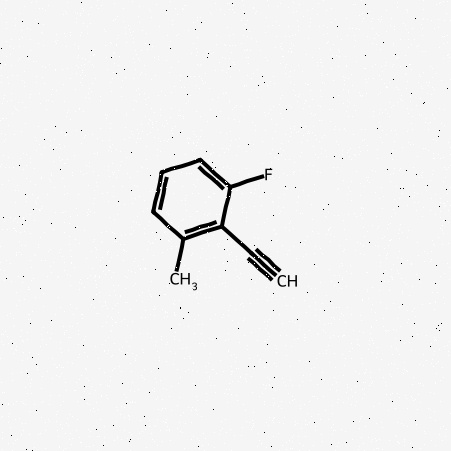 C#Cc1c(C)cccc1F